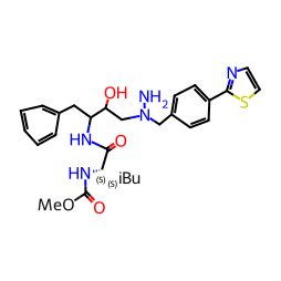 CC[C@H](C)[C@H](NC(=O)OC)C(=O)NC(Cc1ccccc1)C(O)CN(N)Cc1ccc(-c2nccs2)cc1